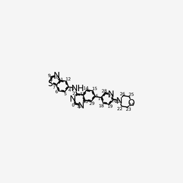 c1nc(Nc2ccc3scnc3c2)c2ccc(-c3ccc(N4CCOCC4)nc3)cc2n1